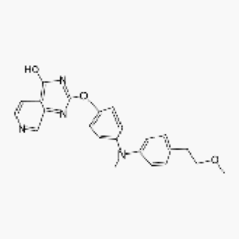 COCCc1ccc(N(C)c2ccc(Oc3nc(O)c4ccncc4n3)cc2)cc1